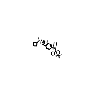 C[C@H](NCc1ccc(NC(=O)OC(C)(C)C)cc1)C1CCC1